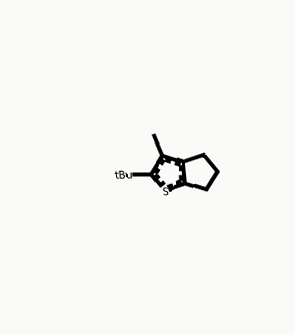 Cc1c(C(C)(C)C)sc2c1CCC2